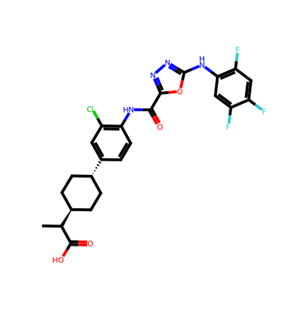 CC(C(=O)O)[C@H]1CC[C@H](c2ccc(NC(=O)c3nnc(Nc4cc(F)c(F)cc4F)o3)c(Cl)c2)CC1